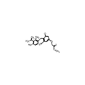 C=C(C)c1c(O)ccc(Cc2c(Cl)cc(OCC(=O)OC)cc2Cl)c1C